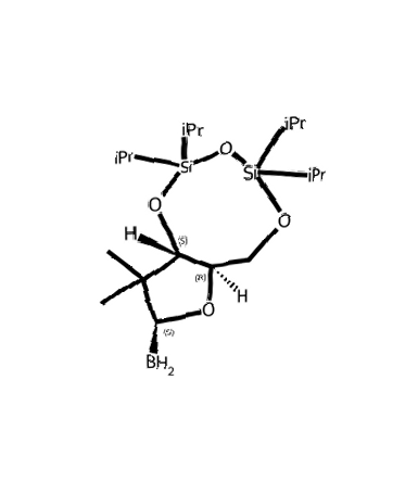 B[C@@H]1O[C@@H]2CO[Si](C(C)C)(C(C)C)O[Si](C(C)C)(C(C)C)O[C@H]2C1(C)C